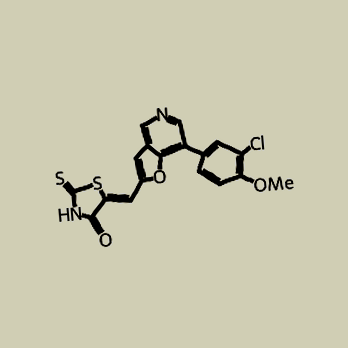 COc1ccc(-c2cncc3cc(/C=C4\SC(=S)NC4=O)oc23)cc1Cl